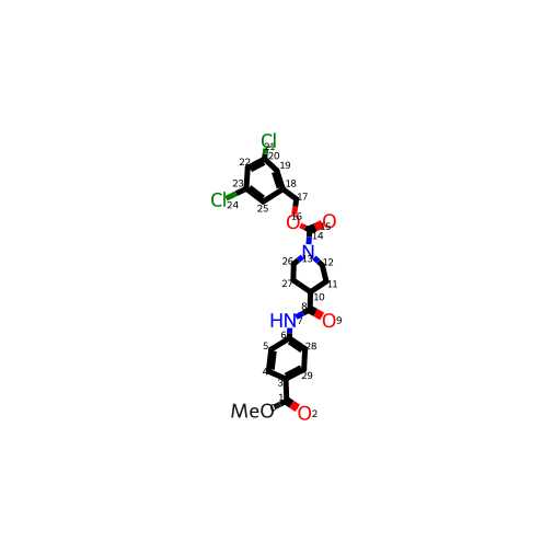 COC(=O)c1ccc(NC(=O)C2CCN(C(=O)OCc3cc(Cl)cc(Cl)c3)CC2)cc1